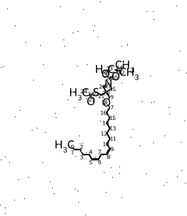 CCCCC/C=C\C/C=C\CCCCCCCCOCC1(CSC(C)=O)CN(C(=O)OC(C)(C)C)C1